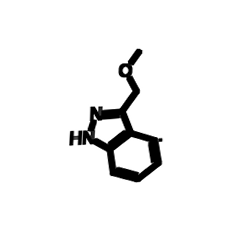 COCc1n[nH]c2ccc[c]c12